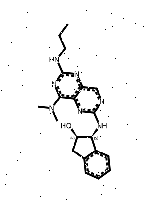 CCCNc1nc(N(C)C)c2nc(N[C@H]3c4ccccc4C[C@H]3O)ncc2n1